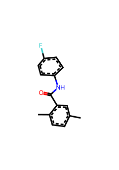 Cc1ccc(C)c(C(=O)Nc2ccc(F)cc2)c1